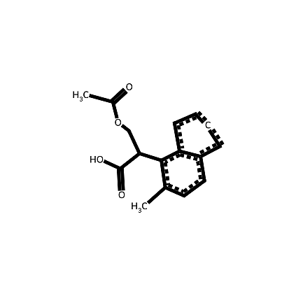 CC(=O)OCC(C(=O)O)c1c(C)ccc2ccccc12